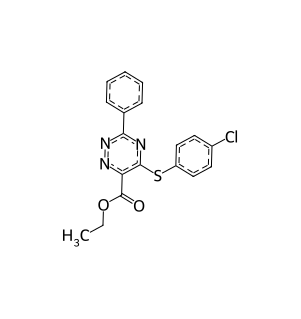 CCOC(=O)c1nnc(-c2ccccc2)nc1Sc1ccc(Cl)cc1